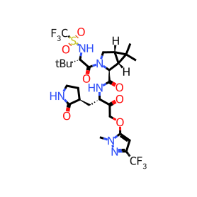 Cn1nc(C(F)(F)F)cc1OCC(=O)[C@H](C[C@@H]1CCNC1=O)NC(=O)[C@@H]1[C@@H]2[C@H](CN1C(=O)[C@@H](NS(=O)(=O)C(F)(F)F)C(C)(C)C)C2(C)C